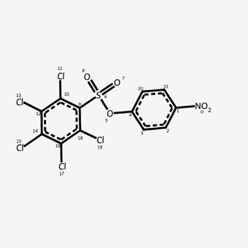 O=[N+]([O-])c1ccc(OS(=O)(=O)c2c(Cl)c(Cl)c(Cl)c(Cl)c2Cl)cc1